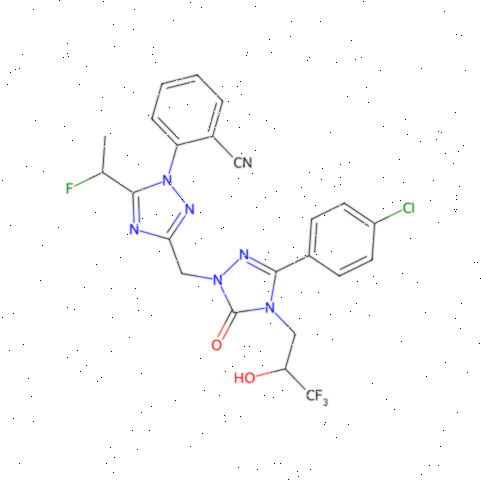 CC(F)c1nc(Cn2nc(-c3ccc(Cl)cc3)n(CC(O)C(F)(F)F)c2=O)nn1-c1ccccc1C#N